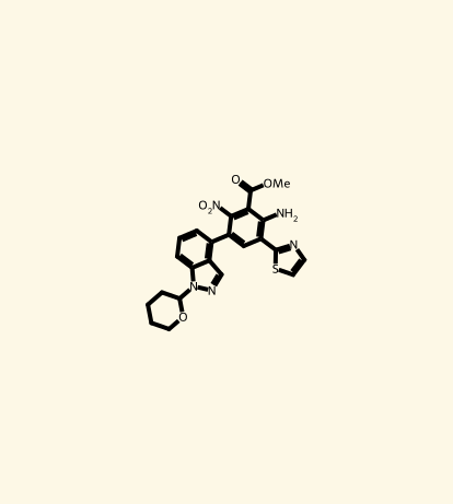 COC(=O)c1c(N)c(-c2nccs2)cc(-c2cccc3c2cnn3C2CCCCO2)c1[N+](=O)[O-]